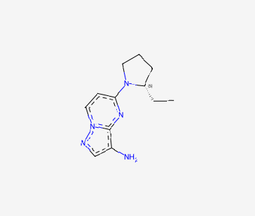 CC[C@H]1CCCN1c1ccn2ncc(N)c2n1